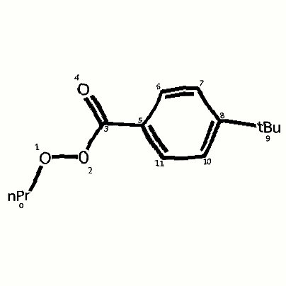 [CH2]CCOOC(=O)c1ccc(C(C)(C)C)cc1